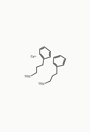 O=C([O-])CCCc1ccccc1.O=C([O-])CCCc1ccccc1.[Ca+2]